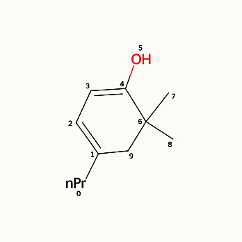 CCCC1=CC=C(O)C(C)(C)C1